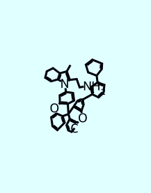 Cc1c2c(n(-c3ccc4c(c3)Oc3ccccc3C43C4=C(CCC=C4)Oc4cc(-c5cccc(C6C=CC=CC6)c5)ccc43)c1CCN)C=CCC2